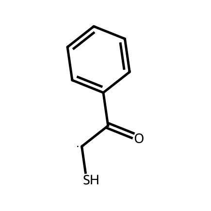 O=C([CH]S)c1ccccc1